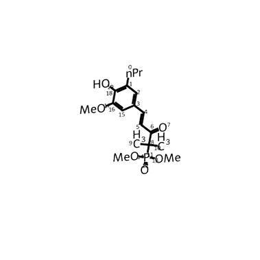 CCCc1cc(/C=C/C(=O)C(C)(C)P(=O)(OC)OC)cc(OC)c1O